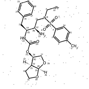 Cc1ccc(S(=O)(=O)N(CC(C)C)C[C@@H](N)[C@H](Cc2ccccc2)NC(=O)O[C@H]2CO[C@H]3OCC[C@H]32)cc1